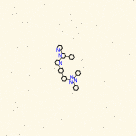 c1ccc(-c2cc(-c3ccccn3)nc(-c3cccc(-c4ccc(-c5cccc(-c6nc(-c7ccccc7)nc(-c7ccccc7)n6)c5)cc4)n3)c2)cc1